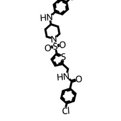 O=C(NCc1ccc(S(=O)(=O)N2CCC(Nc3ccc(O)cc3)CC2)s1)c1ccc(Cl)cc1